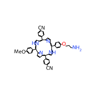 COc1ccc(-c2c3nc(c(-c4ccc(C#N)cc4)c4ccc([nH]4)c(-c4ccc(OCCCN)cc4)c4nc(c(-c5ccc(C#N)cc5)c5ccc2[nH]5)C=C4)C=C3)cc1